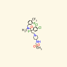 CN(Cc1ccc(C(F)(F)F)c(F)c1)C(=O)C(F)(CCN1CCC(NCS(C)(=O)=O)CC1)c1ccc(Cl)c(Cl)c1